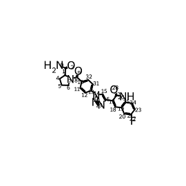 NC(=O)C1CCCN1C(=O)c1ccc(-n2cc(-c3cc4cc(F)ccc4[nH]c3=O)nn2)cc1